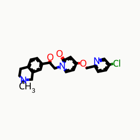 CN1CCc2ccc(C(=O)Cn3ccc(OCc4ccc(Cl)cn4)cc3=O)cc2C1